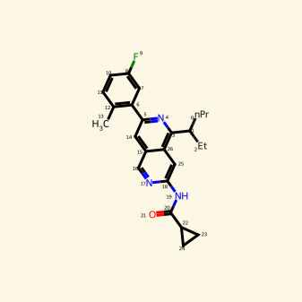 CCCC(CC)c1nc(-c2cc(F)ccc2C)cc2cnc(NC(=O)C3CC3)cc12